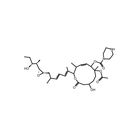 CC[C@H](O)[C@@H](C)[C@H]1O[C@@H]1CC(C)/C=C/C=C(\C)C1OC(=O)CC(O)CCC(C)(OC(C)=O)C(OC(=O)N2CCNCC2)C=CC1C